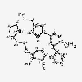 CC(C)CCn1cc(-c2cnc(N)c(-c3nnnn3-c3ccc(OCCC4CCCN4)c(F)c3F)c2)cn1